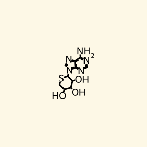 Nc1ncnc2c1ncn2C1SCC(O)C(O)C1O